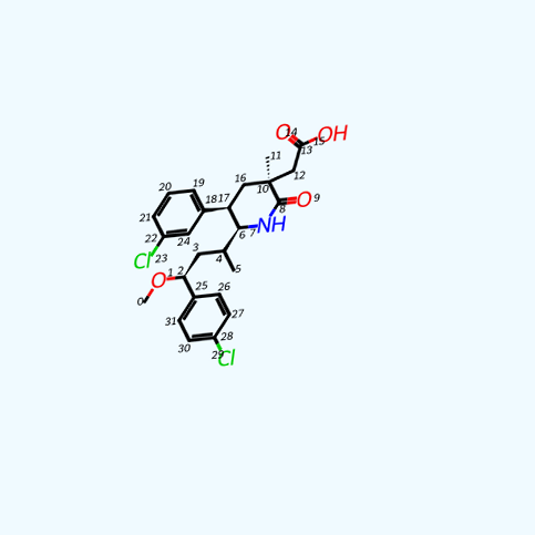 CO[C@@H](CC(C)[C@@H]1NC(=O)[C@](C)(CC(=O)O)C[C@@H]1c1cccc(Cl)c1)c1ccc(Cl)cc1